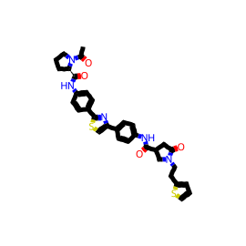 CC(=O)N1CCC[C@H]1C(=O)Nc1ccc(-c2nc(-c3ccc(NC(=O)C4CC(=O)N(CCc5cccs5)C4)cc3)cs2)cc1